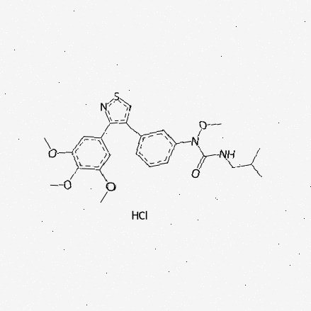 COc1cc(-c2nscc2-c2cccc(N(OC)C(=O)NCC(C)C)c2)cc(OC)c1OC.Cl